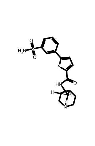 NS(=O)(=O)c1cccc(-c2ccc(C(=O)N[C@H]3CN4CCC3CC4)s2)c1